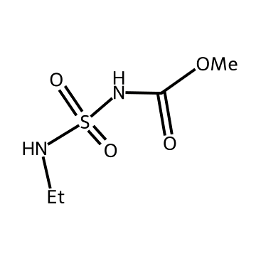 CCNS(=O)(=O)NC(=O)OC